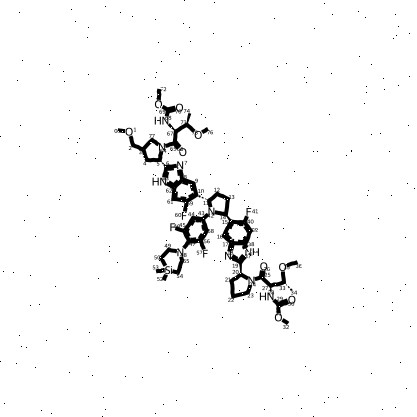 COCC1C[C@@H](c2nc3cc([C@@H]4CC[C@@H](c5cc6nc([C@@H]7CCCN7C(=O)[C@@H](NC(=O)OC)[C@@H](C)OC)[nH]c6cc5F)N4c4cc(F)c(N5CC[Si](C)(C)CC5)c(F)c4)c(F)cc3[nH]2)N(C(=O)[C@@H](NC(=O)OC)[C@@H](C)OC)C1